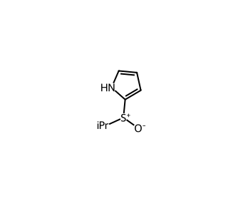 CC(C)[S+]([O-])c1ccc[nH]1